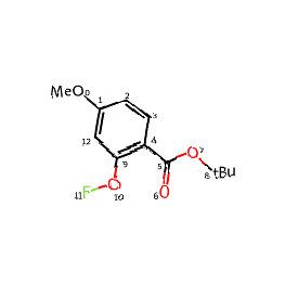 COc1ccc(C(=O)OC(C)(C)C)c(OF)c1